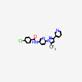 O=C(Nc1ccc(-n2nc(-c3cccnc3)cc2C(F)(F)F)nc1)c1ccc(Cl)cc1